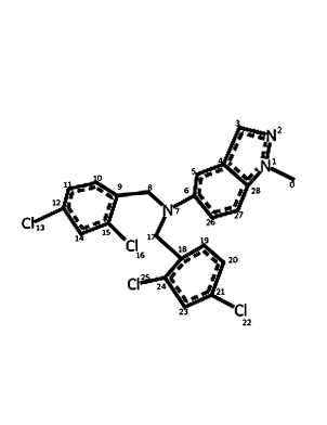 Cn1ncc2cc(N(Cc3ccc(Cl)cc3Cl)Cc3ccc(Cl)cc3Cl)ccc21